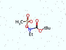 CCN(OS(C)(=O)=O)C(=O)OC(C)(C)C